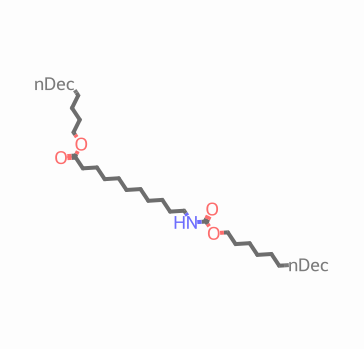 CCCCCCCCCCCCCCCCOC(=O)NCCCCCCCCCCC(=O)OCCCCCCCCCCCCCC